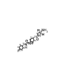 NC1[C@H]2CN(C(=O)Cc3ccc(NC(=O)NCc4ccc(F)cc4)cc3)C[C@@H]12